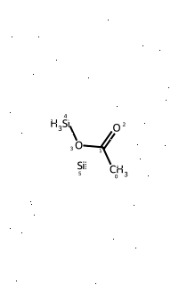 CC(=O)O[SiH3].[Si]